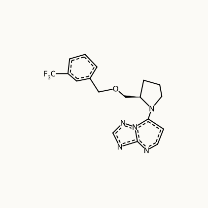 FC(F)(F)c1cccc(COC[C@H]2CCCN2c2ccnc3ncnn23)c1